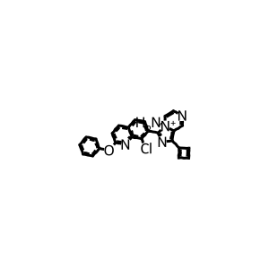 N[N+]12C=CN=CC1=C(C1=CC=C1)N=C2c1ccc2ccc(Oc3ccccc3)nc2c1Cl